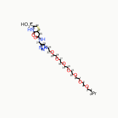 CC(C)CCOCCOCCOCCOCCOCCOCCOCCn1cc(CNC(=O)CC2SCC(C(=O)O)NC2=O)nn1